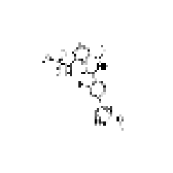 CCOc1cncc(-c2ccc(C(=O)NC(CC)c3cncc(NS(=O)(=O)C4CC4)n3)c(F)c2)n1